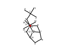 CC(C)(C)CN1CC2CCC(C1)N2C(C)(C)C